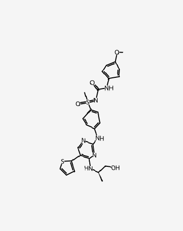 COc1ccc(NC(=O)N=S(C)(=O)c2ccc(Nc3ncc(-c4cccs4)c(N[C@H](C)CO)n3)cc2)cc1